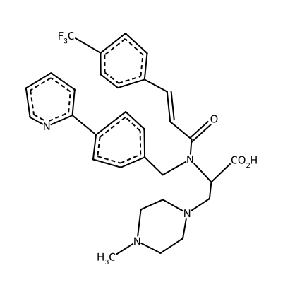 CN1CCN(CC(C(=O)O)N(Cc2ccc(-c3ccccn3)cc2)C(=O)C=Cc2ccc(C(F)(F)F)cc2)CC1